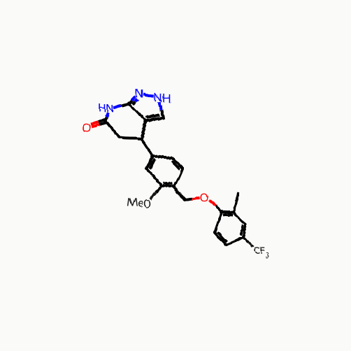 COc1cc(C2CC(=O)Nc3n[nH]cc32)ccc1COc1ccc(C(F)(F)F)cc1C